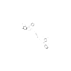 COc1ccc(CC2c3c(cc(OC)c(OC)c3OC)CC[N+]2(C)CCCOC(=O)/C=C/C(=O)OCCC[N+]2(C)CCc3cc(OC)c(OC)c(OC)c3C2c2ccc(OC)c(OC)c2)cc1OC